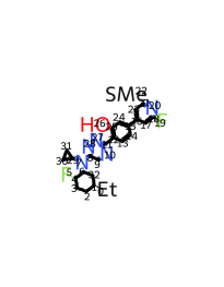 CC[C@@H]1CC[C@H](F)[C@H](N(c2cnc(-c3ccc(-c4cc(F)nc(SC)c4)cc3O)nn2)C2CC2)C1